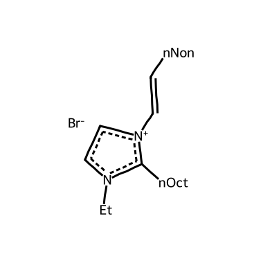 CCCCCCCCC/C=C/[n+]1ccn(CC)c1CCCCCCCC.[Br-]